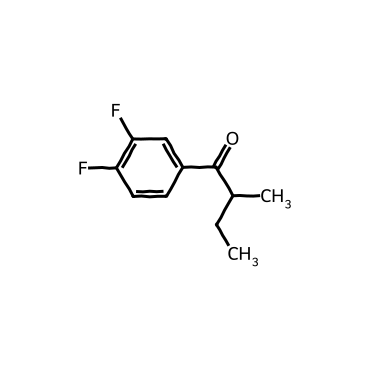 CCC(C)C(=O)c1ccc(F)c(F)c1